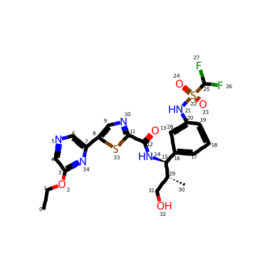 CCOc1cncc(-c2cnc(C(=O)N[C@@H](c3cccc(NS(=O)(=O)C(F)F)c3)[C@H](C)CO)s2)n1